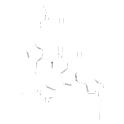 Cc1ccc(OCCN(C)C)cc1C(=O)N[C@H](C)c1cc(-c2cnn(C)c2)cc(-c2cnn(CCF)c2)c1